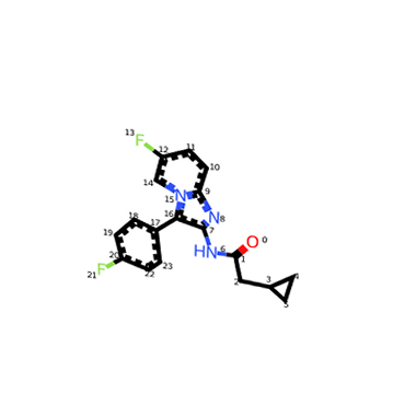 O=C(CC1CC1)Nc1nc2ccc(F)cn2c1-c1ccc(F)cc1